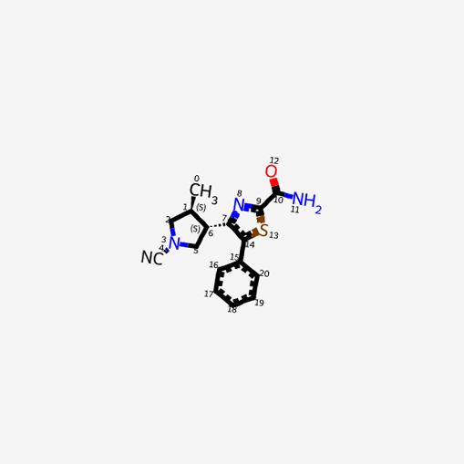 C[C@@H]1CN(C#N)C[C@H]1c1nc(C(N)=O)sc1-c1ccccc1